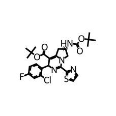 CC(C)(C)OC(=O)N[C@H]1CC2=C(C(=O)OC(C)(C)C)C(c3ccc(F)cc3Cl)N=C(c3nccs3)N2C1